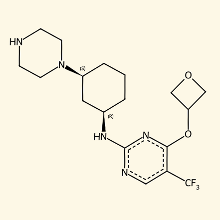 FC(F)(F)c1cnc(N[C@@H]2CCC[C@H](N3CCNCC3)C2)nc1OC1COC1